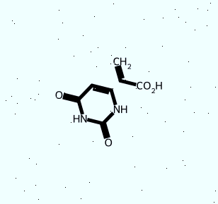 C=CC(=O)O.O=c1cc[nH]c(=O)[nH]1